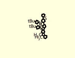 CC(C)(C)c1ccc(N2B3c4cc(C(C)(C)C)ccc4-n4c5cc6c(cc5c5ccc(c3c54)-c3cc4sc5ccccc5c4cc32)-c2ccccc2C6(C)C)cc1